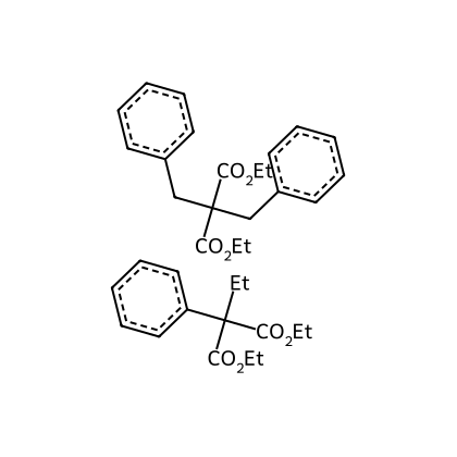 CCOC(=O)C(CC)(C(=O)OCC)c1ccccc1.CCOC(=O)C(Cc1ccccc1)(Cc1ccccc1)C(=O)OCC